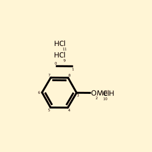 CC.COc1ccccc1.Cl.Cl.Cl